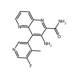 Cc1c(F)cncc1-c1c(N)c(C(N)=O)nc2cccnc12